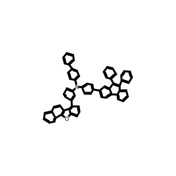 c1ccc(-c2ccc(N(c3ccc(-c4ccc5c(c4)c(-c4ccccc4)c(-c4ccccc4)c4ccccc45)cc3)c3cccc(-c4cccc5oc6c7ccccc7ccc6c45)c3)cc2)cc1